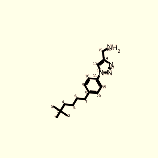 CC(C)(C)CCCCc1ccc(-n2cc(CN)nn2)cc1